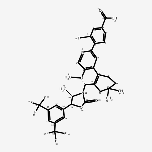 COc1cnc(-c2ccc(C(=O)O)cc2F)cc1C1=C(CN2C(=O)OC(c3cc(C(F)(F)F)cc(C(F)(F)F)c3)[C@@H]2C)CC(C)(C)CC1